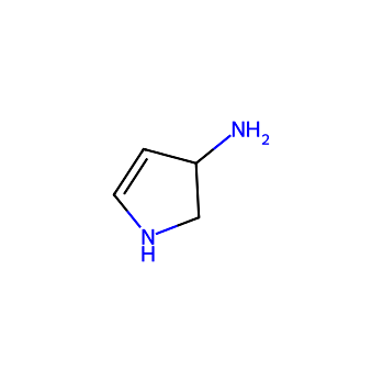 NC1C=CNC1